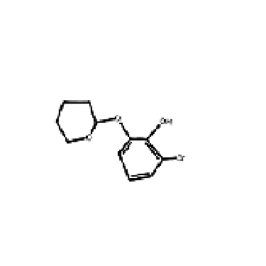 Oc1c(Br)cccc1OC1CCCCO1